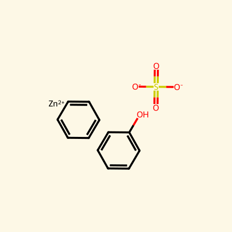 O=S(=O)([O-])[O-].Oc1ccccc1.[Zn+2].c1ccccc1